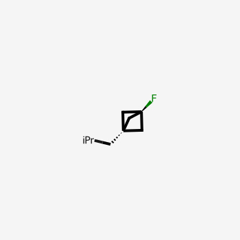 CC(C)C[C@]12C[C@@](F)(C1)C2